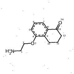 NCCOc1cccc2c1CCCC2=O